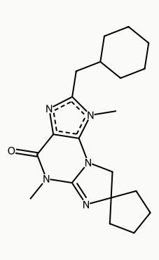 CN1C(=O)c2nc(CC3CCCCC3)n(C)c2N2CC3(CCCC3)N=C12